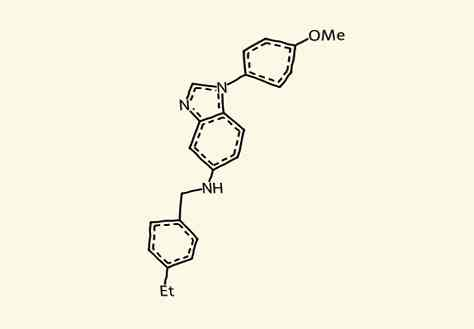 CCc1ccc(CNc2ccc3c(c2)ncn3-c2ccc(OC)cc2)cc1